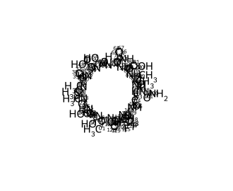 CCCC[C@H]1C(=O)N2C[C@@H](O)C[C@@H]2C(=O)N[C@@H](CC(=O)O)C(=O)N[C@@H](C(C)C)C(=O)N(C)[C@@H](Cc2ccccc2)C(=O)N[C@@H](CCC(=O)O)C(=O)N2C[C@@H](O)C[C@@H]2C(=O)N[C@@H](Cc2c[nH]c3ccccc23)C(=O)N[C@@H](Cc2ccc(O)cc2)C(=O)N[C@@H](CC(C)C)C(=O)N[C@H](C(=O)NCC(N)=O)CSCC(=O)N[C@@H](Cc2cc(F)c(F)c(F)c2)C(=O)N(C)[C@@H](Cc2ccccc2)C(=O)N1C